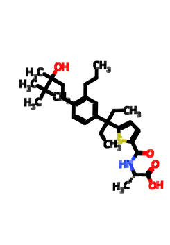 CCCc1cc(C(CC)(CC)c2ccc(C(=O)N[C@@H](C)C(=O)O)s2)ccc1CCC(C)(O)C(C)(C)C